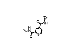 CCNC(=O)c1cc(C(=O)NC2CC2)ccn1